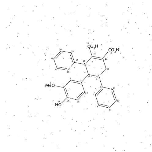 COc1cc(C2N(c3ccccc3)CC(C(=O)O)=C(C(=O)O)N2c2ccccc2)ccc1O